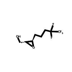 OC[C@H]1O[C@@H]1CCCC(F)(F)C(F)(F)F